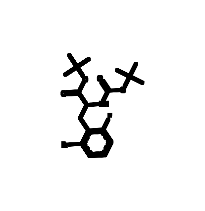 CC(C)(C)OC(=O)NC(Cc1c(F)cccc1Br)C(=O)OC(C)(C)C